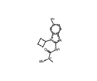 CC(C)c1ccc2nc(NC(=O)[C@@H](C)C(C)(C)C)n(C3CCC3)c2c1